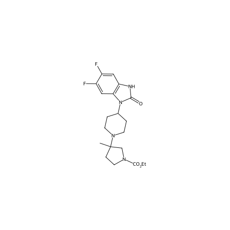 CCOC(=O)N1CCC(C)(N2CCC(n3c(=O)[nH]c4cc(F)c(F)cc43)CC2)C1